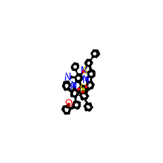 N#Cc1c(-c2ccccc2)c(C#N)c(-n2c3c(ccc4c5cc(-c6ccccc6)ccc5sc43)c3ccc4c5cc(-c6ccccc6)ccc5sc4c32)c(-c2ccccc2)c1-n1c2ccccc2c2cc(-c3cccc4c3oc3ccccc34)ccc21